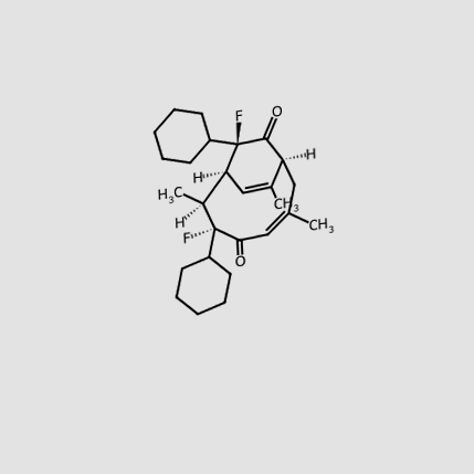 CC1=C[C@H]2[C@H](C)[C@](F)(C3CCCCC3)C(=O)/C=C(/C)C[C@@H]1C(=O)[C@@]2(F)C1CCCCC1